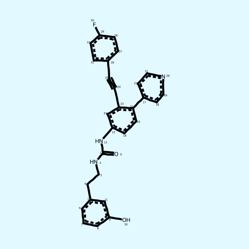 O=C(NCCc1cccc(O)c1)Nc1ccc(-c2ccncc2)c(C#Cc2ccc(F)cc2)c1